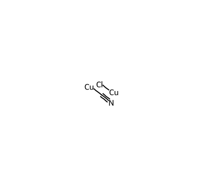 N#[C][Cu].[Cl][Cu]